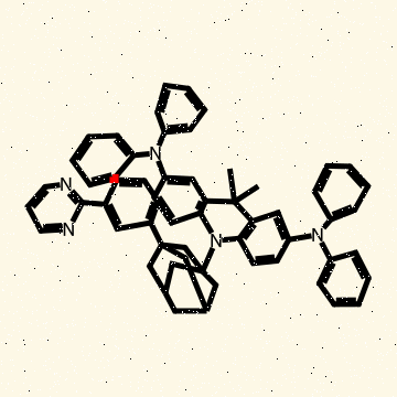 CC1(C)c2cc(N(c3ccccc3)c3ccccc3)ccc2N(C23CC4CC(CC(c5cccc(-c6ncccn6)c5)(C4)C2)C3)c2ccc(N(c3ccccc3)c3ccccc3)cc21